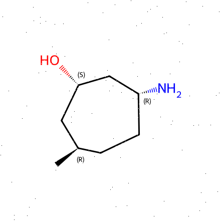 C[C@@H]1CC[C@@H](N)C[C@@H](O)C1